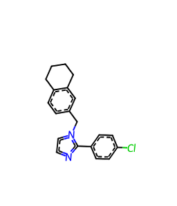 Clc1ccc(-c2nccn2Cc2ccc3c(c2)CCCC3)cc1